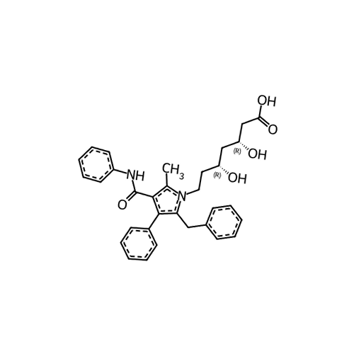 Cc1c(C(=O)Nc2ccccc2)c(-c2ccccc2)c(Cc2ccccc2)n1CC[C@@H](O)C[C@@H](O)CC(=O)O